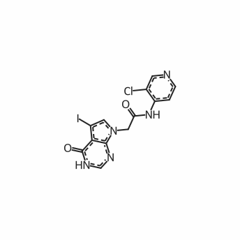 O=C(Cn1cc(I)c2c(=O)[nH]cnc21)Nc1ccncc1Cl